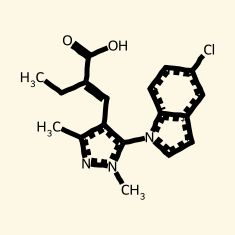 CCC(=Cc1c(C)nn(C)c1-n1ccc2cc(Cl)ccc21)C(=O)O